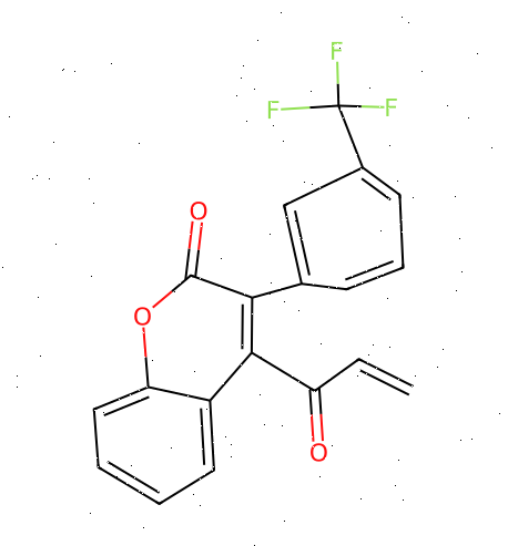 C=CC(=O)c1c(-c2cccc(C(F)(F)F)c2)c(=O)oc2ccccc12